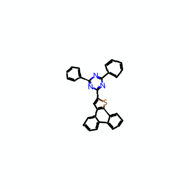 c1ccc(-c2nc(-c3ccccc3)nc(-c3cc4c5ccccc5c5ccccc5c4s3)n2)cc1